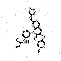 C=CC(=O)Nc1cccc(-n2c(=O)c(Oc3ccc(F)nc3)cc3cnc(Nc4cn[nH]c4)nc32)c1